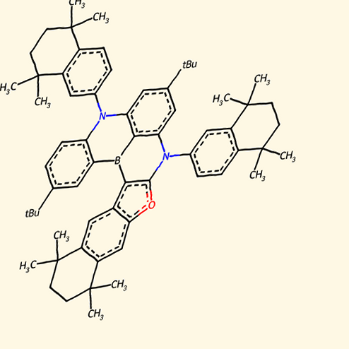 CC(C)(C)c1ccc2c(c1)B1c3c(cc(C(C)(C)C)cc3N(c3ccc4c(c3)C(C)(C)CCC4(C)C)c3oc4cc5c(cc4c31)C(C)(C)CCC5(C)C)N2c1ccc2c(c1)C(C)(C)CCC2(C)C